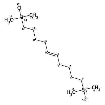 C[Si](C)(Cl)CCCCC=CCCCC[Si](C)(C)Cl